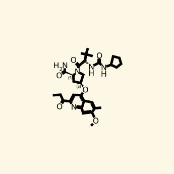 CCC(=O)c1cc(O[C@H]2C[C@@H](C(N)=O)N(C(=O)[C@@H](NC(=O)NC3CCCC3)C(C)(C)C)C2)c2cc(C)c(OC)cc2n1